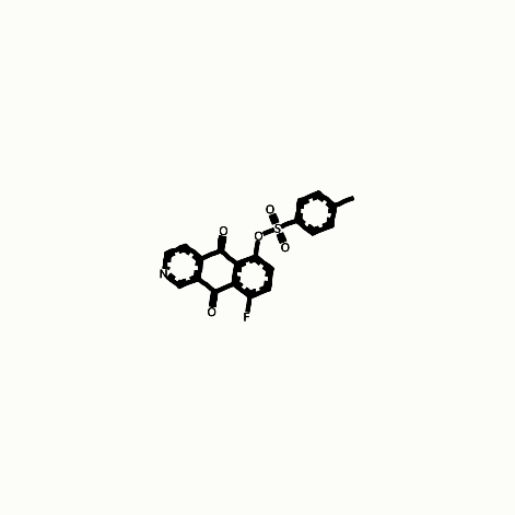 Cc1ccc(S(=O)(=O)Oc2ccc(F)c3c2C(=O)c2ccncc2C3=O)cc1